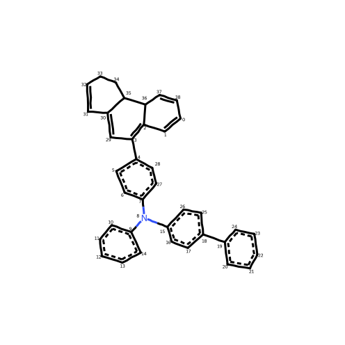 C1=CC2=C(c3ccc(N(c4ccccc4)c4ccc(-c5ccccc5)cc4)cc3)C=C3C=CCCC3C2C=C1